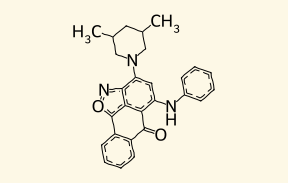 CC1CC(C)CN(c2cc(Nc3ccccc3)c3c4c(onc24)-c2ccccc2C3=O)C1